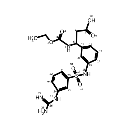 CCOC(=O)NC(CC(=O)O)c1cccc(NS(=O)(=O)c2cccc(NC(=N)N)c2)c1